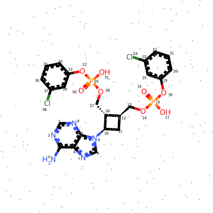 Nc1ncnc2c1ncn2[C@@H]1C[C@H](COP(=O)(O)Oc2cccc(Cl)c2)[C@H]1COP(=O)(O)Oc1cccc(Cl)c1